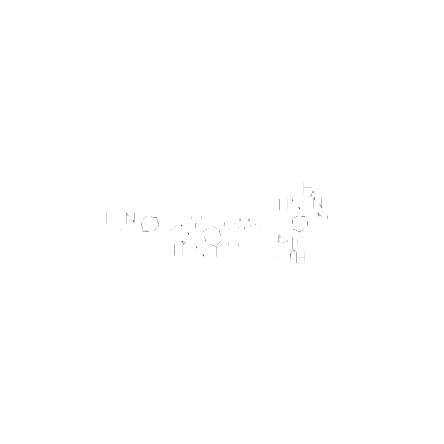 [2H]C([2H])([2H])Oc1cc2c(cc1OCCCCCOc1cc3c(cc1OC)C(=O)N1C=C(c4ccc(N)cc4)C[C@H]1CN3)NC[C@@H]1CC3(CC3)CN1C2=O